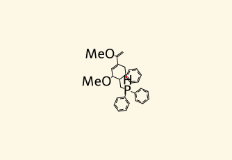 C=C(OC)C1=CC(OC)C(C[PH](c2ccccc2)(c2ccccc2)c2ccccc2)CC1